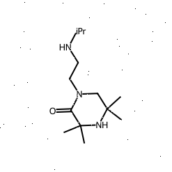 CC(C)NCCN1CC(C)(C)NC(C)(C)C1=O